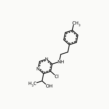 Cc1ccc(CCNc2ncnc(C(C)O)c2Cl)cc1